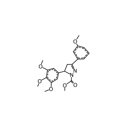 COC(=O)N1N=C(c2cccc(OC)c2)CC1c1cc(OC)c(OC)c(OC)c1